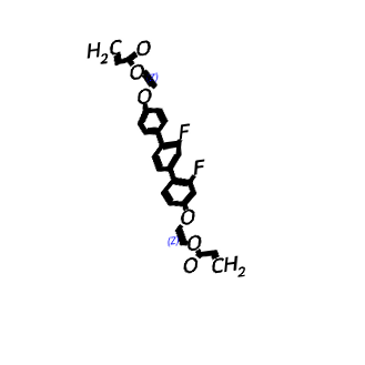 C=CC(=O)O/C=C\Oc1ccc(-c2ccc(-c3ccc(O/C=C\OC(=O)C=C)cc3F)cc2F)cc1